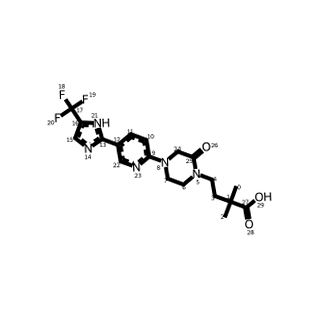 CC(C)(CCN1CCN(c2ccc(-c3ncc(C(F)(F)F)[nH]3)cn2)CC1=O)C(=O)O